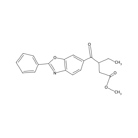 CCC(CC(=O)OC)C(=O)c1ccc2nc(-c3ccccc3)oc2c1